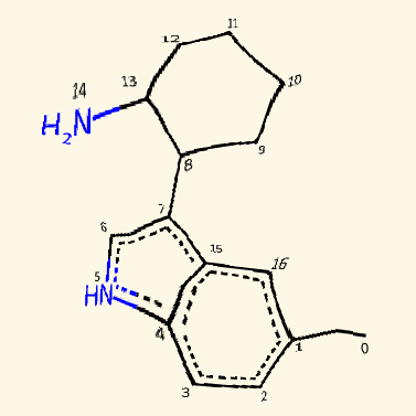 Cc1ccc2[nH]cc(C3CCCCC3N)c2c1